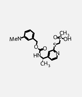 CNc1cccc(COC(=O)N[C@@H](C)c2ccnc(SCP(C)(=O)O)c2)c1